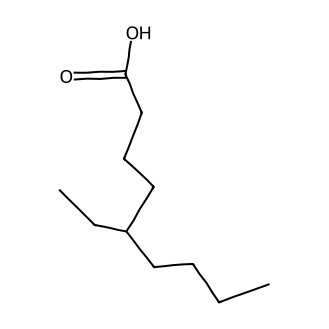 CCCCC(CC)CCCC(=O)O